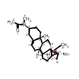 CC(=O)N(C)[C@H]1CC[C@@]2(C)C(=CC[C@@H]3C2CC[C@]24CN(C)[C@H]5C[C@@]52CC[C@@H]34)C1